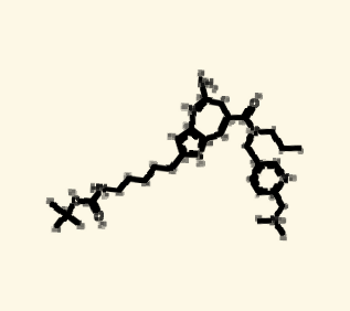 CCCN(Cc1ccc(CN(C)C)nc1)C(=O)C1=Cc2sc(CCCCCNC(=O)OC(C)(C)C)cc2N=C(N)C1